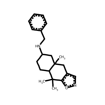 CC12Cc3cnoc3C(C)(C)C1CCC(NCc1ccccc1)C2